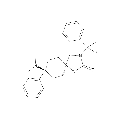 CN(C)[C@]1(c2ccccc2)CC[C@]2(CC1)CN(C1(c3ccccc3)CC1)C(=O)N2